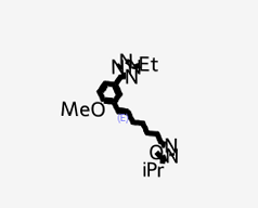 CCn1nnc(-c2ccc(OC)c(/C=C/CCCCc3nnc(C(C)C)o3)c2)n1